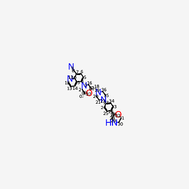 C[C@@H]1CN(c2ccc(C#N)c3ncccc23)C[C@H](CN2CCN(c3ccc([C@@H]4CNCCO4)cc3)CC2)O1